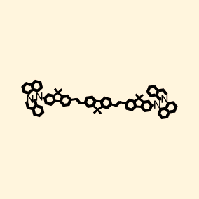 CC1(C)c2cc(/C=C/c3ccc4c(c3)C(C)(C)c3cc(N(c5cccc6ccccc56)c5nccc6ccccc56)ccc3-4)ccc2-c2ccc(/C=C/c3ccc4c(c3)C(C)(C)c3cc(N(c5cccc6ccccc56)c5nccc6ccccc56)ccc3-4)cc21